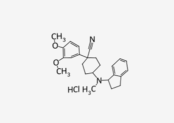 COc1ccc(C2(C#N)CCC(N(C)C3CCc4ccccc43)CC2)cc1OC.Cl